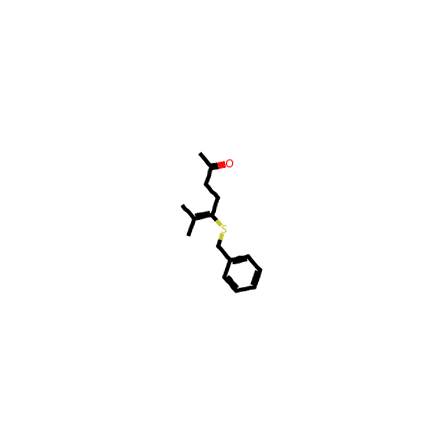 CC(=O)CCC(SCc1ccccc1)=C(C)C